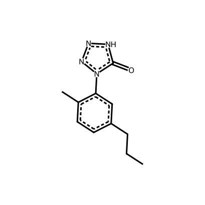 CCCc1ccc(C)c(-n2nn[nH]c2=O)c1